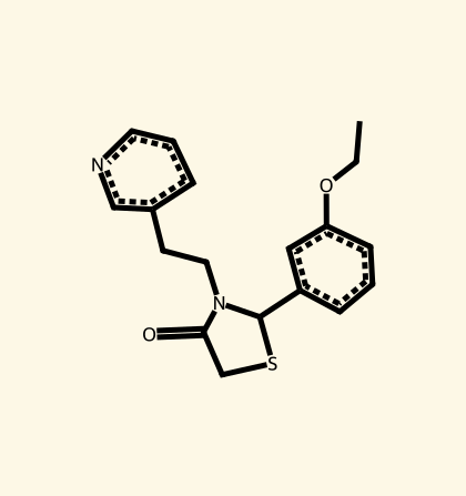 CCOc1cccc(C2SCC(=O)N2CCc2cccnc2)c1